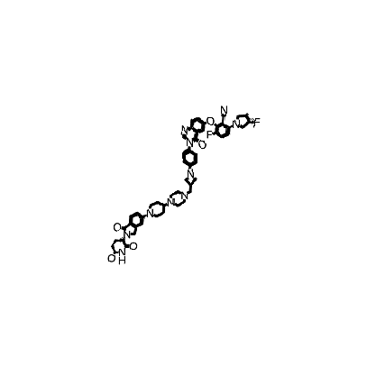 N#Cc1c(N2CC[C@@H](F)C2)ccc(F)c1Oc1ccc2ncn(-c3ccc(N4CC(CN5CCN(C6CCN(c7ccc8c(c7)CN([C@@H]7CCC(=O)NC7=O)C8=O)CC6)CC5)C4)cc3)c(=O)c2c1